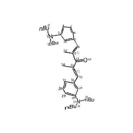 CCCCN(CCCC)c1cccc(/C=C(\C)C(=O)/C(C)=C/c2cccc(N(CCCC)CCCC)c2)c1